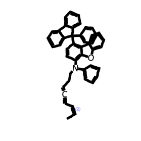 C/C=C\C=C=CCCN(c1ccccc1)c1ccc(C2(c3ccccc3)c3ccccc3-c3ccccc32)c2c1oc1ccccc12